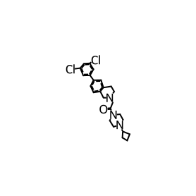 O=C(CN1CCc2cc(-c3cc(Cl)cc(Cl)c3)ccc2C1)N1CCN(C2CCC2)CC1